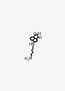 CCN1C(=O)c2cccc3c(NCCCCCCCN)ccc(c23)C1=O